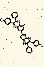 Cc1cc(-c2ccc3nc(-c4ccccc4)c(-c4ccc(C#N)cc4)nc3c2)ccc1/N=C(\C(=N)c1ccc(C#N)cc1)c1ccccc1